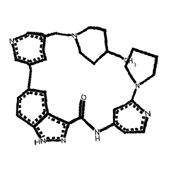 CC1CCN(Cc2cncc(-c3ccc4[nH]nc(C(=O)Nc5ccnc(N6CCCC6)c5)c4c3)c2)CC1